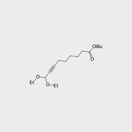 CCOC(C#CCCCCCC(=O)OCC(C)C)OCC